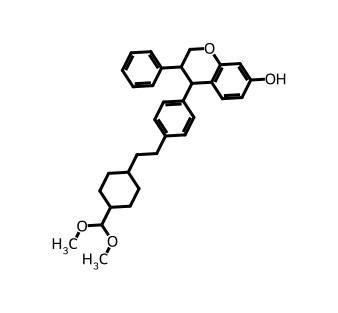 COC(OC)C1CCC(CCc2ccc(C3c4ccc(O)cc4OCC3c3ccccc3)cc2)CC1